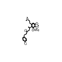 COc1c2c(cc(CCN(C)C)c1C(C)CC(=O)CCc1ccc(Cl)cc1)OCO2